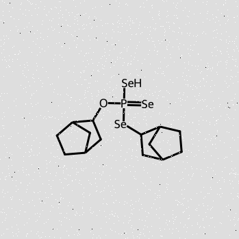 [Se]=P([SeH])(OC1CC2CCC1C2)[Se]C1CC2CCC1C2